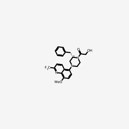 COc1ccc(N2CCN(C(=O)CO)[C@@H](Cc3ccccc3)C2)c2ccc(C(F)(F)F)nc12